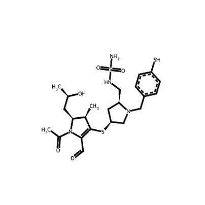 CC(=O)N1C(C=O)=C(S[C@H]2C[C@@H](CNS(N)(=O)=O)N(Cc3ccc(S)cc3)C2)[C@H](C)[C@@H]1C[C@@H](C)O